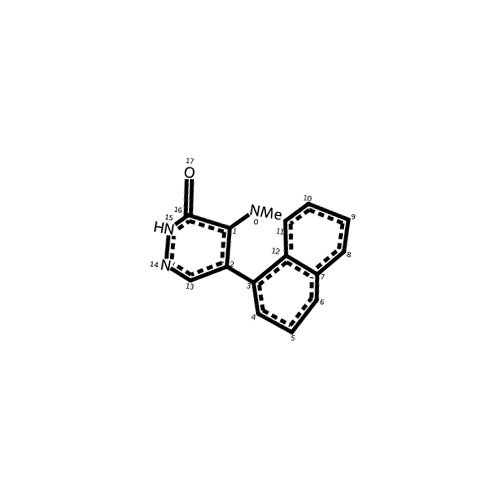 CNc1c(-c2cccc3ccccc23)cn[nH]c1=O